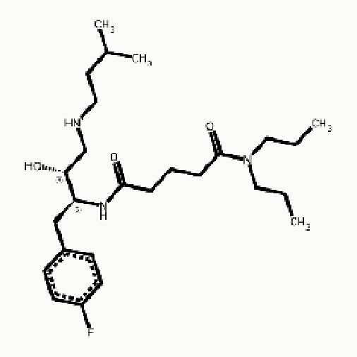 CCCN(CCC)C(=O)CCCC(=O)N[C@@H](Cc1ccc(F)cc1)[C@H](O)CNCCC(C)C